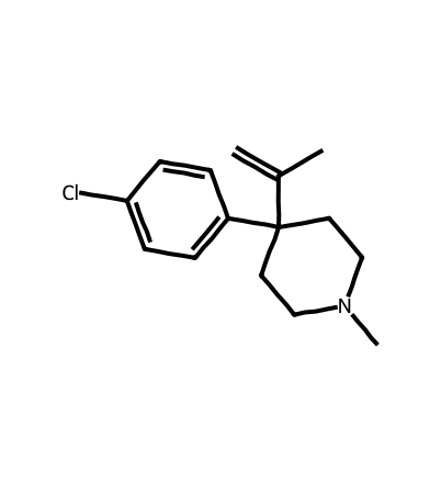 C=C(C)C1(c2ccc(Cl)cc2)CCN(C)CC1